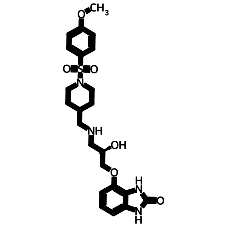 COc1ccc(S(=O)(=O)N2CCC(CNC[C@@H](O)COc3cccc4[nH]c(=O)[nH]c34)CC2)cc1